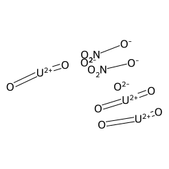 O=[N+]([O-])[O-].O=[N+]([O-])[O-].[O-2].[O-2].[O]=[U+2]=[O].[O]=[U+2]=[O].[O]=[U+2]=[O]